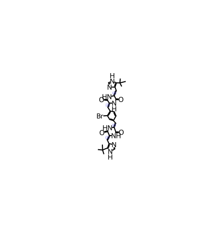 CC(C)(C)c1[nH]cnc1/C=c1\[nH]c(=O)/c(=C/c2ccc(/C=c3\[nH]c(=O)/c(=C/c4nc[nH]c4C(C)(C)C)[nH]c3=O)c(Br)c2)[nH]c1=O